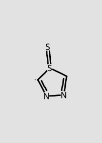 S=S1[C]=NN=C1